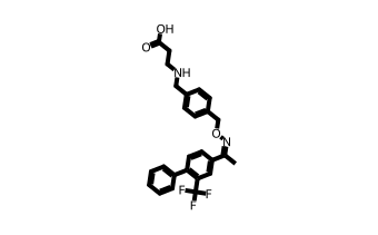 CC(=NOCc1ccc(CNCCC(=O)O)cc1)c1ccc(-c2ccccc2)c(C(F)(F)F)c1